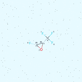 F[C@H]1O[C@H]1C(F)(F)F